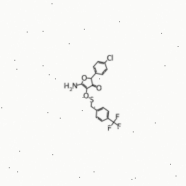 NC1=C(OSCc2ccc(C(F)(F)F)cc2)C(=O)C(c2ccc(Cl)cc2)O1